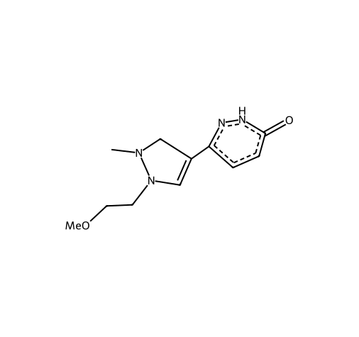 COCCN1C=C(c2ccc(=O)[nH]n2)CN1C